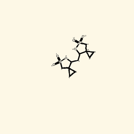 O=S1(=O)CC2(CC2)C(CC2OS(=O)(=O)CC23CC3)O1